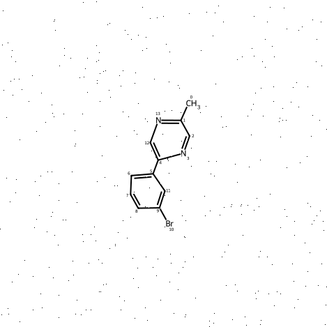 Cc1cnc(-c2cccc(Br)c2)cn1